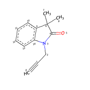 C#CCN1C(=O)C(C)(C)c2ccccc21